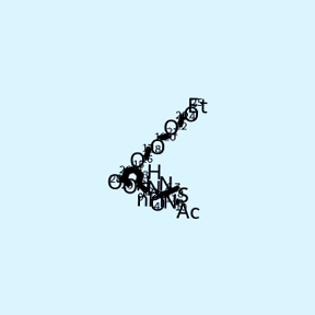 CCC[C@@H](NC(=O)[C@]1(N)CSC(C(C)=O)=N1)c1cc(OCCOCCOCCOCC)cc(=O)o1